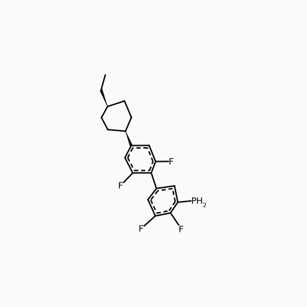 CC[C@H]1CC[C@@H](c2cc(F)c(-c3cc(F)c(F)c(P)c3)c(F)c2)CC1